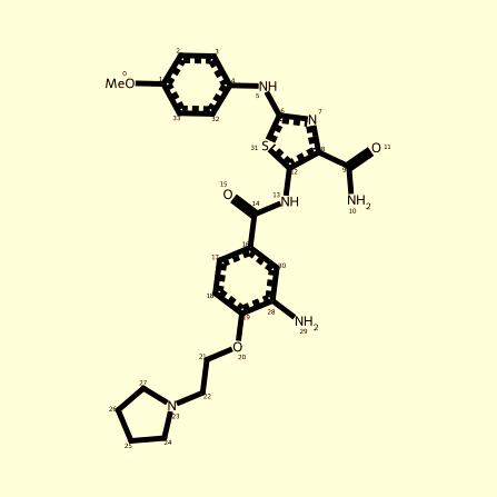 COc1ccc(Nc2nc(C(N)=O)c(NC(=O)c3ccc(OCCN4CCCC4)c(N)c3)s2)cc1